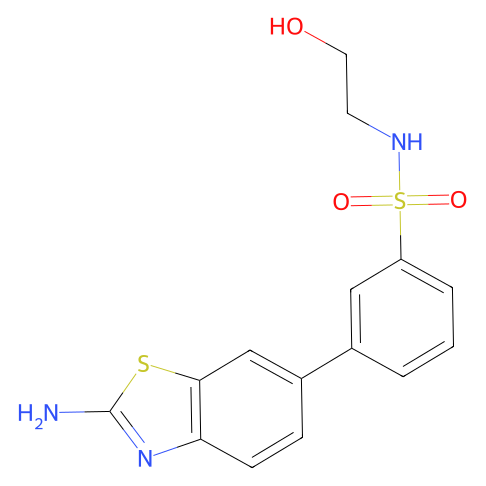 Nc1nc2ccc(-c3cccc(S(=O)(=O)NCCO)c3)cc2s1